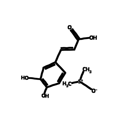 C[S+](C)[O-].O=C(O)/C=C/c1ccc(O)c(O)c1